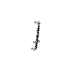 CCSCCOCCOCCOCCOCCC(=O)NCCCCCN